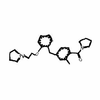 Cc1cc(Cc2[c]cccc2OCCN2CCCC2)ccc1C(=O)N1CCCC1